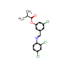 CC(C)C(=O)Oc1cc(Cl)cc(C=Nc2ccc(Cl)cc2Cl)c1